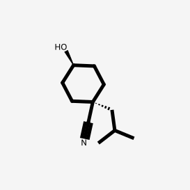 CC(C)C[C@]1(C#N)CC[C@@H](O)CC1